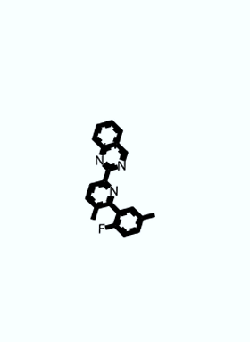 Cc1ccc(F)c(-c2nc(-c3ncc4ccccc4n3)ccc2C)c1